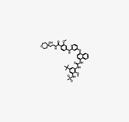 COc1cc(Nc2cc(Oc3ccc(NC(=O)Nc4cc(C(C)(C)C)cc(NS(C)(=O)=O)c4OC)c4ccccc34)ccn2)ccc1C(=O)NCC[N+]1(O)CCOCC1